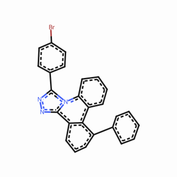 Brc1ccc(-c2nnc3c4cccc(-c5ccccc5)c4c4ccccc4n23)cc1